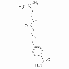 CN(C)CCNC(=O)[CH]COCc1ccc(C(N)=O)cc1